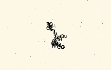 CC(C)(C)OC(=O)N[C@@H](CCCOC/C=C\[C@@H]1C[C@@H]1C(=O)NS(=O)(=O)C1CC1)C(=O)N1C[C@H](OC(=O)c2ccccc2)C[C@H]1C(N)=O